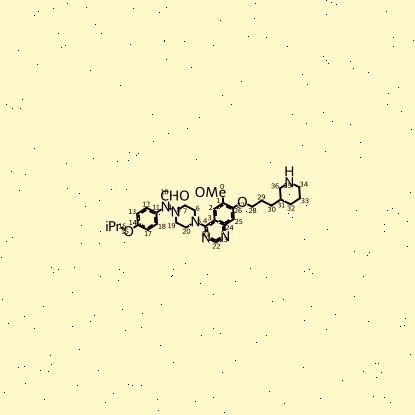 COc1cc2c(N3CCN(N(C=O)c4ccc(OC(C)C)cc4)CC3)ncnc2cc1OCCCC1CCCNC1